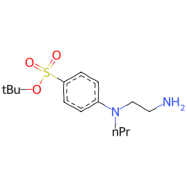 CCCN(CCN)c1ccc(S(=O)(=O)OC(C)(C)C)cc1